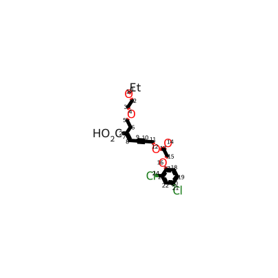 CCOCCOCCC(=CC#CCOC(=O)COc1ccc(Cl)cc1Cl)C(=O)O